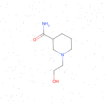 NC(=O)C1CCCN(CCO)C1